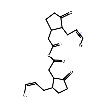 CC/C=C\CC1CCC(=O)C1CC(=O)OC(=O)CC1CCC(=O)C1C/C=C\CC